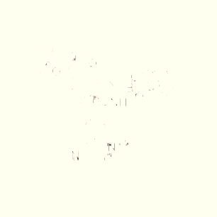 COc1c(C[C@H](NC(=O)c2ccc(CN(C)C)c([N+](=O)[O-])c2)B2OC3CC4CC(C4(C)C)C3(C)O2)cccc1C(=O)OC(C)(C)C